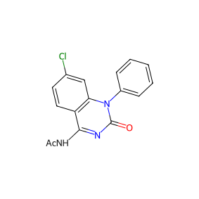 CC(=O)Nc1nc(=O)n(-c2ccccc2)c2cc(Cl)ccc12